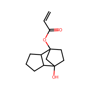 C=CC(=O)OC12CCC(O)(C1)C1CCCC12